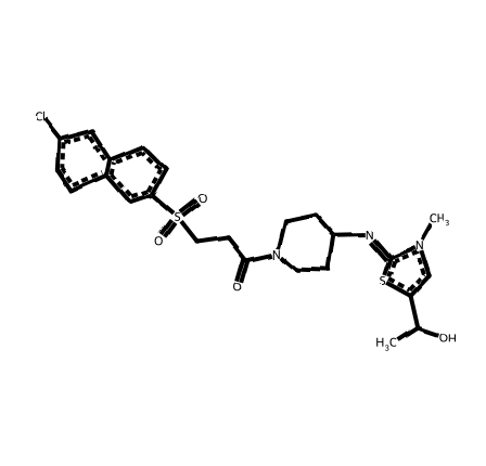 CC(O)c1cn(C)/c(=N/C2CCN(C(=O)CCS(=O)(=O)c3ccc4cc(Cl)ccc4c3)CC2)s1